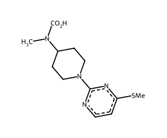 CSc1ccnc(N2CCC(N(C)C(=O)O)CC2)n1